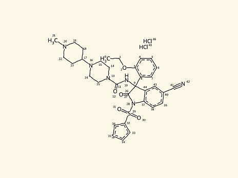 CCOc1ccccc1C1(NC(=O)N2CCN(C3CCN(C)CC3)CC2)C(=O)N(S(=O)(=O)c2ccsc2)c2ccc(C#N)cc21.Cl.Cl